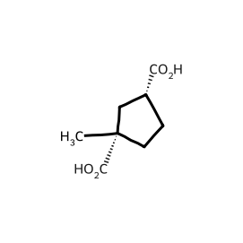 C[C@]1(C(=O)O)CC[C@@H](C(=O)O)C1